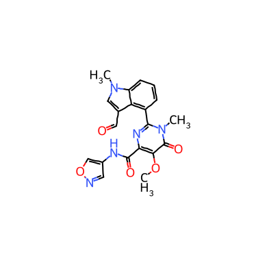 COc1c(C(=O)Nc2cnoc2)nc(-c2cccc3c2c(C=O)cn3C)n(C)c1=O